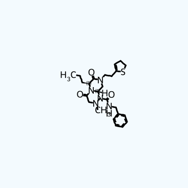 CCC[C@H]1C(=O)N(CCC2=CCCS2)C[C@H]2N1C(=O)CN(C)N2C(=O)NCc1ccccc1